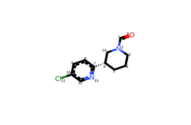 O=CN1CCC[C@H](c2ccc(Cl)cn2)C1